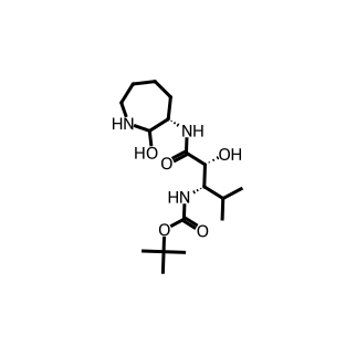 CC(C)[C@H](NC(=O)OC(C)(C)C)[C@@H](O)C(=O)N[C@H]1CCCCNC1O